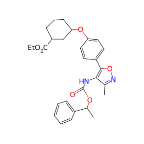 CCOC(=O)C1CCCC(Oc2ccc(-c3onc(C)c3NC(=O)OC(C)c3ccccc3)cc2)C1